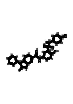 Cc1nc2cc(C(=O)Nc3ccc(F)c(S(=O)(=O)Nc4ccc(Cl)cc4)c3)ccc2n1-c1ccccc1